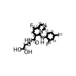 O=C(NOCC(O)O)c1cc(F)c2cncn2c1Nc1ccc(I)cc1F